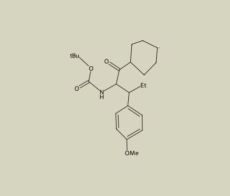 CCC(c1ccc(OC)cc1)C(NC(=O)OC(C)(C)C)C(=O)C1CC[CH]CC1